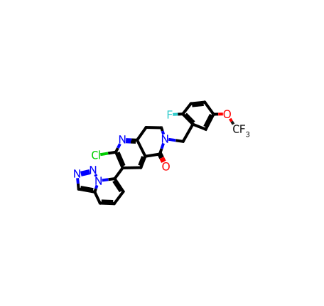 O=C1c2cc(-c3cccc4cnnn34)c(Cl)nc2CCN1Cc1cc(OC(F)(F)F)ccc1F